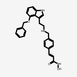 O=C(/C=C/c1ccc(CNCCc2c[nH]c3cccc(OCc4ccccc4)c23)cc1)NO